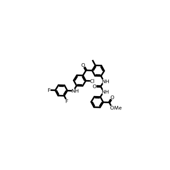 COC(=O)c1ccccc1NC(=O)Nc1ccc(C)c(C(=O)c2ccc(Nc3ccc(F)cc3F)cc2Cl)c1